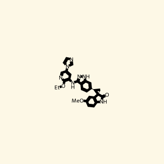 CCOc1ncc(-n2ccnc2)cc1Nc1n[nH]c2cc([C@@H]3C[C@@]34C(=O)Nc3ccc(OC)cc34)ccc12